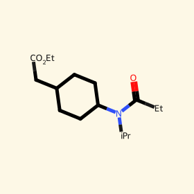 CCOC(=O)CC1CCC(N(C(=O)CC)C(C)C)CC1